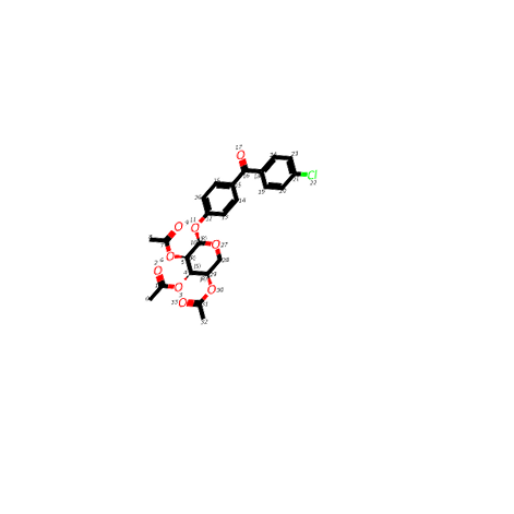 CC(=O)O[C@@H]1[C@@H](OC(C)=O)[C@@H](Oc2ccc(C(=O)c3ccc(Cl)cc3)cc2)OC[C@H]1OC(C)=O